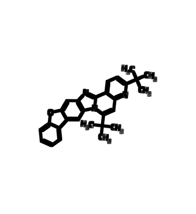 CC(C)(C)c1ccc2c(cc(C(C)(C)C)n3c4cc5c(cc4nc23)oc2ccccc25)n1